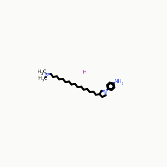 CN(C)CCCCCCCCCCCCCCCCC1CCN(c2ccc(N)cc2)C1.I